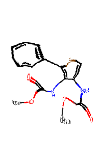 CC(C)(C)OC(=O)Nc1csc(-c2ccccc2)c1NC(=O)OC(C)(C)C